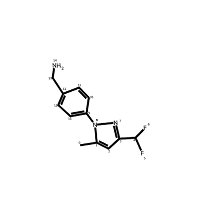 Cc1cc(C(F)F)nn1-c1ccc(CN)cc1